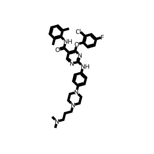 Cc1cccc(C)c1NC(=O)c1cnc(Nc2ccc(N3CCN(CCCN(C)C)CC3)cc2)nc1Oc1ccc(F)cc1Cl